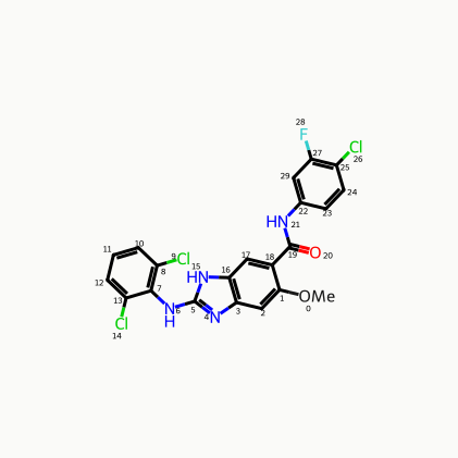 COc1cc2nc(Nc3c(Cl)cccc3Cl)[nH]c2cc1C(=O)Nc1ccc(Cl)c(F)c1